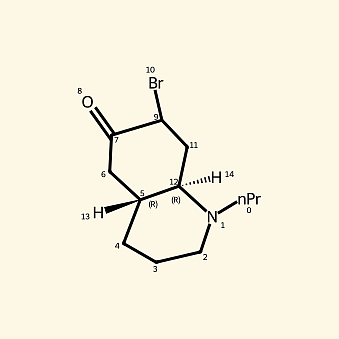 CCCN1CCC[C@@H]2CC(=O)C(Br)C[C@H]21